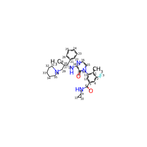 Cc1c(F)cc(C(=O)NC2CC2)cc1-n1ccnc(N[C@@H](c2ccccc2)[C@H](C)CN2CCCCC2)c1=O